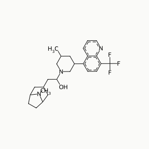 CC1CC(c2ccc(C(F)(F)F)c3ncccc23)CN(C(O)CC2CC3CCC(C2)N3C)C1